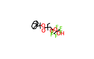 CCC(C)(CC(=O)OC(O)(C(F)(F)F)C(F)(F)F)C(=O)OC(C)(C)C12CC3CC(CC(C3)C1)C2